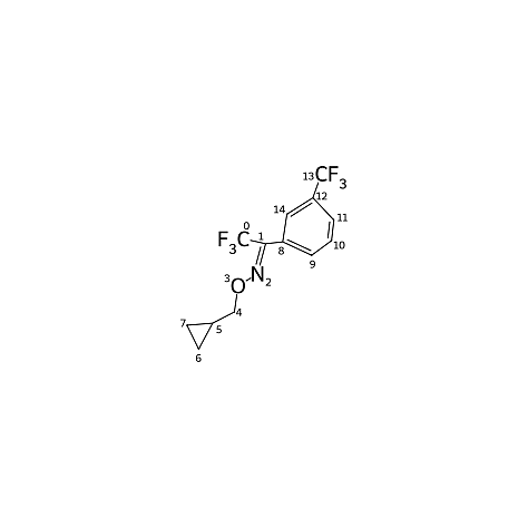 FC(F)(F)C(=NOCC1CC1)c1cccc(C(F)(F)F)c1